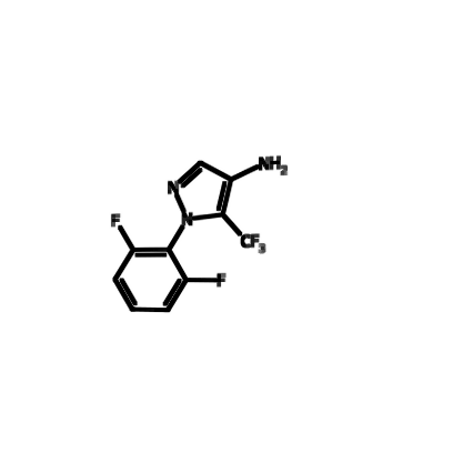 Nc1cnn(-c2c(F)cccc2F)c1C(F)(F)F